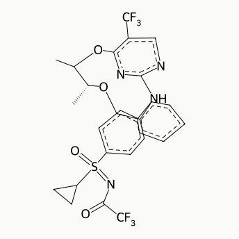 CC(Oc1nc(Nc2ccc(S(=O)(=NC(=O)C(F)(F)F)C3CC3)cc2)ncc1C(F)(F)F)[C@@H](C)OCc1ccccc1